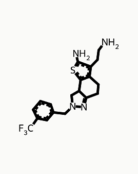 NCCc1c(N)sc2c1CCC1=NN(Cc3cccc(C(F)(F)F)c3)CC12